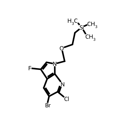 C[Si](C)(C)CCOCn1cc(F)c2cc(Br)c(Cl)nc21